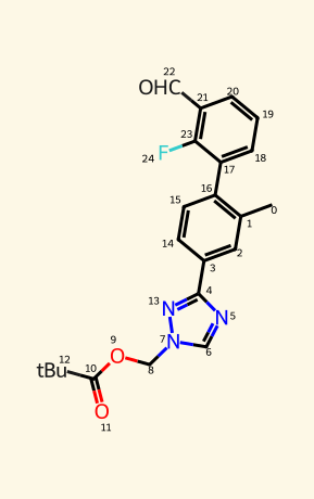 Cc1cc(-c2ncn(COC(=O)C(C)(C)C)n2)ccc1-c1cccc(C=O)c1F